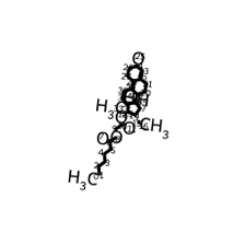 CCCCCCC(=O)OCC(=O)O[C@H]1[C@@H](CC)C[C@H]2[C@@H]3CCC4=CC(=O)CCC4=C3CC[C@@]21C